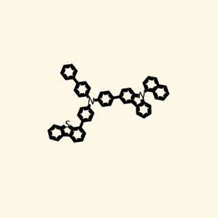 c1ccc(-c2ccc(N(c3ccc(-c4ccc5c(c4)c4ccccc4n5-c4cccc5ccccc45)cc3)c3ccc(-c4cccc5c4sc4ccccc45)cc3)cc2)cc1